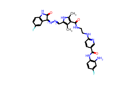 Cc1[nH]c(/C=N/N=C2\C(=O)Nc3ccc(F)cc32)c(C)c1C(=O)NCCNc1ccc(C(=O)Nc2ccc(F)cc2N)cn1